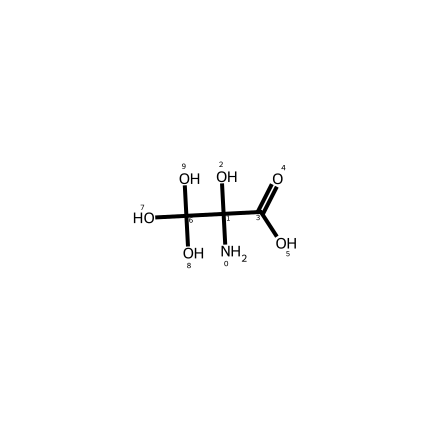 NC(O)(C(=O)O)C(O)(O)O